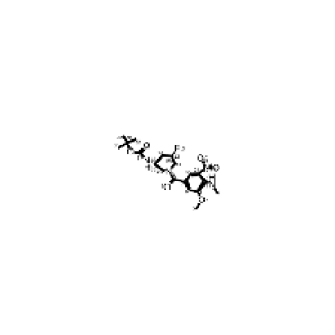 CNc1c(OC)cc(C(=O)N2C[C@H](F)C[C@@H](NC(=O)OC(C)(C)C)C2)cc1[N+](=O)[O-]